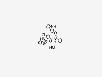 CS(=O)(=O)C(Nc1cc(C(=O)CNC(CCOc2ccc3c(c2)[nH]c2ccccc23)c2ccccc2)ccc1Cl)c1ccccc1.Cl